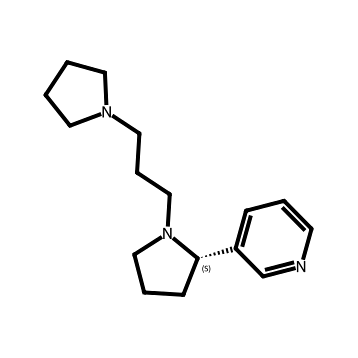 c1cncc([C@@H]2CCCN2CCCN2CCCC2)c1